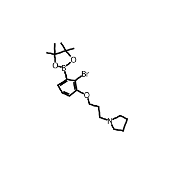 CC1(C)OB(c2cccc(OCCCN3CCCC3)c2Br)OC1(C)C